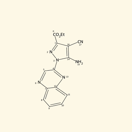 CCOC(=O)c1nn(-c2cnc3ccccc3n2)c(N)c1C#N